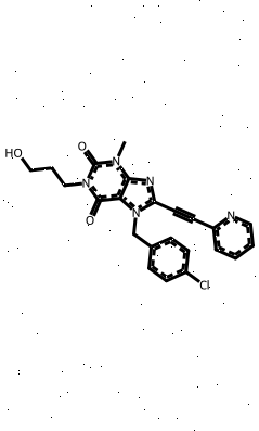 Cn1c(=O)n(CCCO)c(=O)c2c1nc(C#Cc1ccccn1)n2Cc1ccc(Cl)cc1